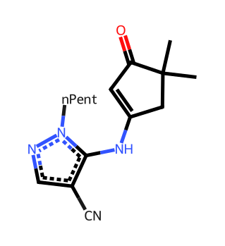 CCCCCn1ncc(C#N)c1NC1=CC(=O)C(C)(C)C1